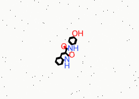 O=C(Nc1ccc(O)cc1)c1cc2ccccc2[nH]c1=O